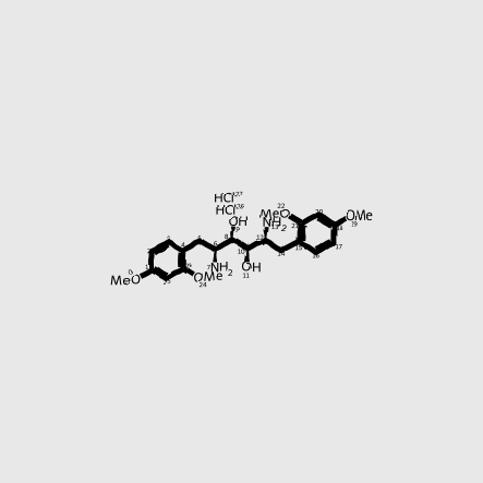 COc1ccc(C[C@H](N)[C@@H](O)[C@H](O)[C@@H](N)Cc2ccc(OC)cc2OC)c(OC)c1.Cl.Cl